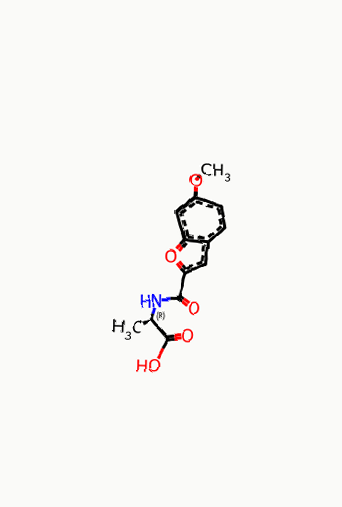 COc1ccc2cc(C(=O)N[C@H](C)C(=O)O)oc2c1